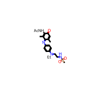 CCN(CCNS(C)(=O)=O)c1ccc(N=C2C(C)=CC(=O)C(NC(C)=O)=C2C)cc1